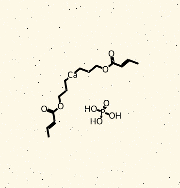 CC=CC(=O)OCC[CH2][Ca][CH2]CCOC(=O)C=CC.O=P(O)(O)O